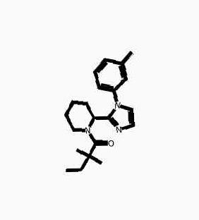 CCC(C)(C)C(=O)N1CCCCC1c1nccn1-c1cccc(C)c1